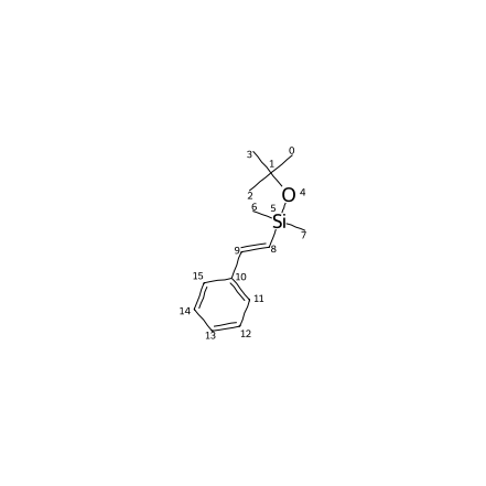 CC(C)(C)O[Si](C)(C)C=Cc1ccccc1